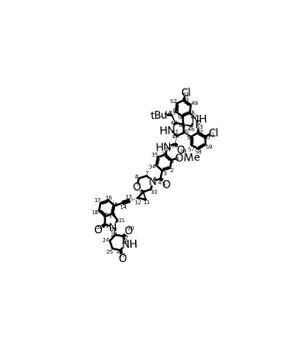 COc1cc(C(=O)N2CCO[C@]3(C[C@@H]3C#Cc3cccc4c3CN([C@H]3CCC(=O)NC3=O)C4=O)C2)ccc1NC(=O)[C@@H]1N[C@@H](CC(C)(C)C)[C@@]2(CNc3cc(Cl)ccc32)[C@H]1c1cccc(Cl)c1F